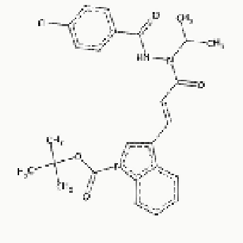 CC(C)N(NC(=O)c1ccc(Cl)cc1)C(=O)C=Cc1cn(C(=O)OC(C)(C)C)c2ccccc12